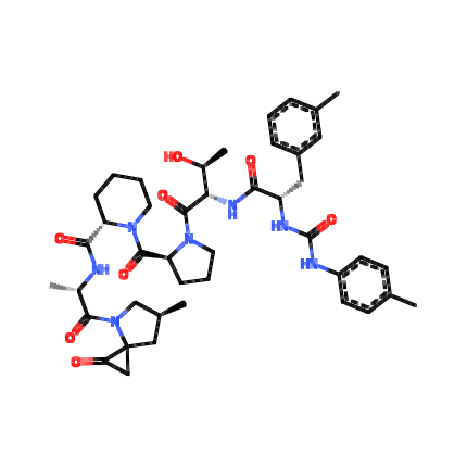 Cc1ccc(NC(=O)N[C@@H](Cc2cccc(C)c2)C(=O)N[C@H](C(=O)N2CCC[C@H]2C(=O)N2CCCC[C@H]2C(=O)N[C@@H](C)C(=O)N2C[C@@H](C)CC23CC3=O)[C@H](C)O)cc1